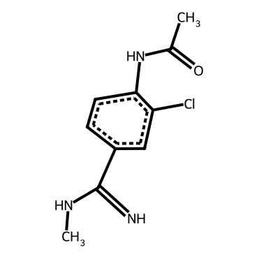 CNC(=N)c1ccc(NC(C)=O)c(Cl)c1